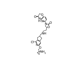 NC1(COc2cc3c(c(Cl)n2)CC(CNCCC2CN(c4ccc5c(n4)NC(=O)CO5)C(=O)O2)C3)CC1